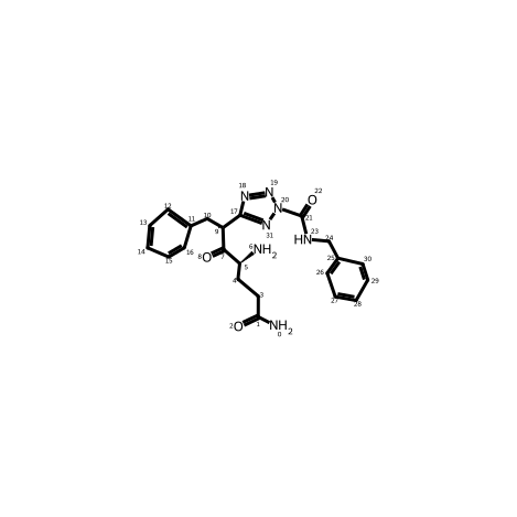 NC(=O)CC[C@H](N)C(=O)[C](Cc1ccccc1)c1nnn(C(=O)NCc2ccccc2)n1